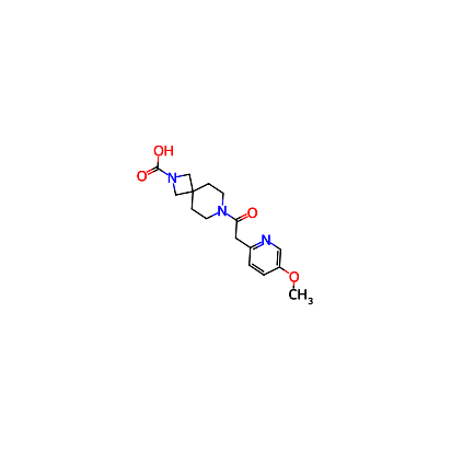 COc1ccc(CC(=O)N2CCC3(CC2)CN(C(=O)O)C3)nc1